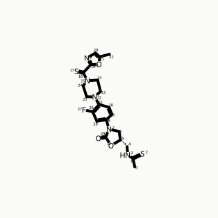 CC(=S)NC[C@H]1CN(c2ccc(N3CCN(C(=S)c4ncc(C)o4)CC3)c(F)c2)C(=O)O1